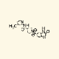 Cc1ccnc(NC(=O)C2CCN(S(=O)(=O)c3ccc4c(c3)NC(=O)CO4)CC2)c1